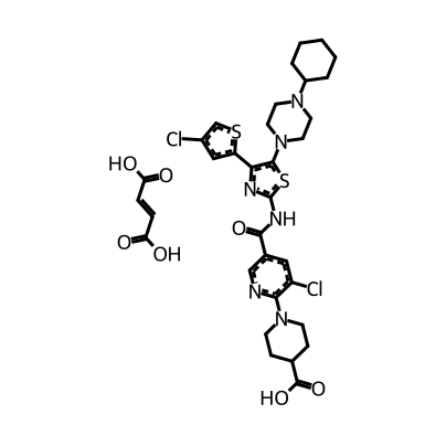 O=C(Nc1nc(-c2cc(Cl)cs2)c(N2CCN(C3CCCCC3)CC2)s1)c1cnc(N2CCC(C(=O)O)CC2)c(Cl)c1.O=C(O)C=CC(=O)O